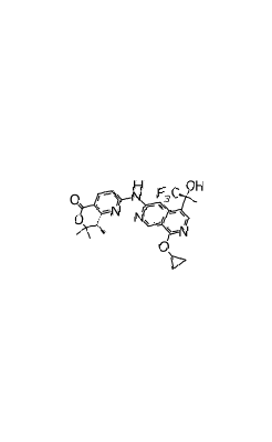 C[C@@H]1c2nc(Nc3cc4c([C@@](C)(O)C(F)(F)F)cnc(OC5CC5)c4cn3)ccc2C(=O)OC1(C)C